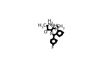 CC(N)C(=O)C1N=C(c2ccc(F)cc2)c2ccccc2N(C)C1N